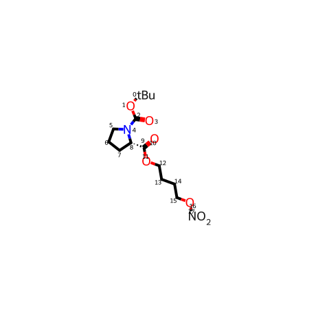 CC(C)(C)OC(=O)N1CCC[C@H]1C(=O)OCCCCO[N+](=O)[O-]